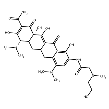 CN(CCO)CC(=O)Nc1cc(N(C)C)c2c(c1O)C(=O)C1=C(O)[C@]3(O)C(=O)C(C(N)=O)=C(O)[C@@H](N(C)C)C3CC1C2